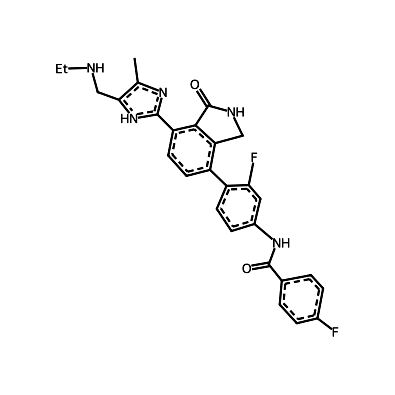 CCNCc1[nH]c(-c2ccc(-c3ccc(NC(=O)c4ccc(F)cc4)cc3F)c3c2C(=O)NC3)nc1C